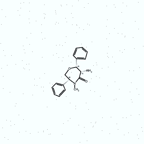 CN1C(=O)[C@@H](N)[C@@H](c2ccccc2)OC[C@H]1c1ccccc1